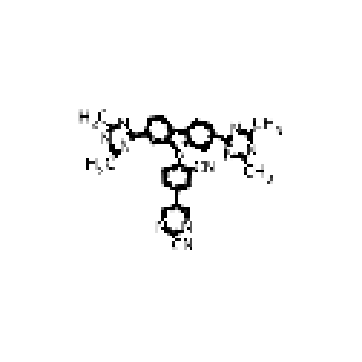 Cc1nc(C)nc(-c2ccc3c4ccc(-c5nc(C)nc(C)n5)cc4n(-c4ccc(-c5cnc(C#N)nc5)cc4C#N)c3c2)n1